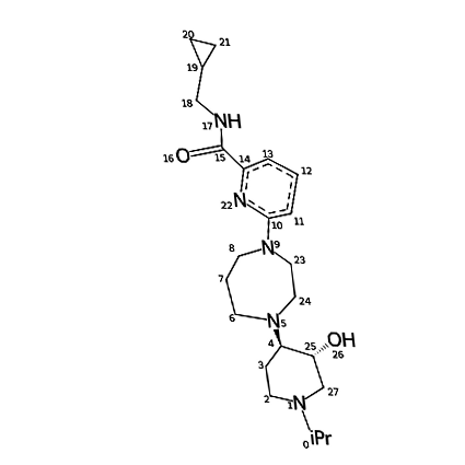 CC(C)N1CC[C@@H](N2CCCN(c3cccc(C(=O)NCC4CC4)n3)CC2)[C@H](O)C1